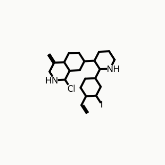 C=CC1CCC(C2NCCCC2C2CCC3C(=C)CNC(Cl)C3C2)CC1I